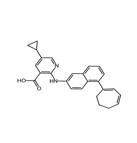 O=C(O)c1cc(C2CC2)cnc1Nc1ccc2c(C3=CC=CCCC3)cccc2c1